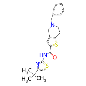 CC(C)(C)c1csc(NC(=O)c2cc3c(s2)CCN(Cc2ccccc2)C3)n1